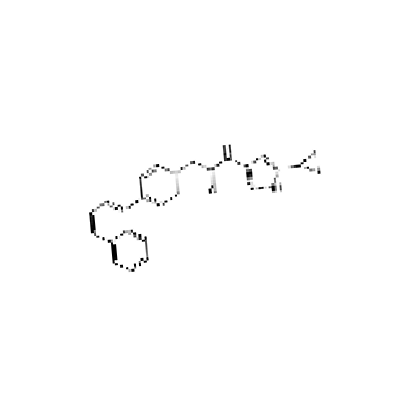 O=C(Cc1ccc(-c2cccc3ccccc23)cc1)Nc1cc(C2CC2)[nH]n1